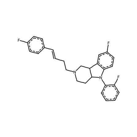 Fc1ccc(C=CCCN2CCC3C(C2)c2cc(F)ccc2N3c2ccccc2F)cc1